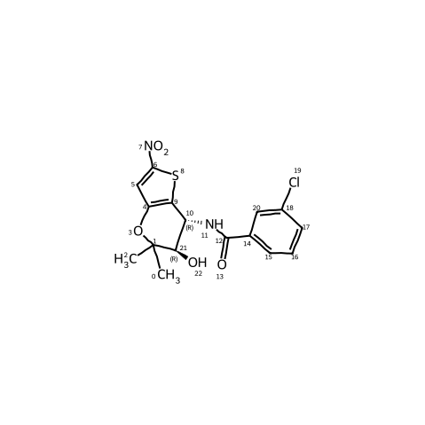 CC1(C)Oc2cc([N+](=O)[O-])sc2[C@H](NC(=O)c2cccc(Cl)c2)[C@H]1O